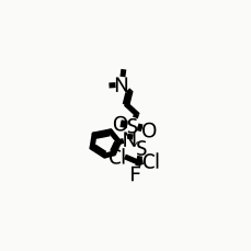 CN(C)C=CCS(=O)(=O)N(SC(F)(Cl)Cl)c1ccccc1